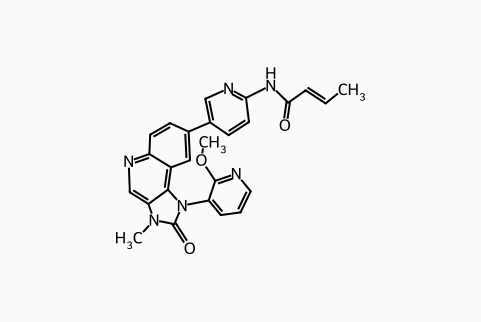 C/C=C/C(=O)Nc1ccc(-c2ccc3ncc4c(c3c2)n(-c2cccnc2OC)c(=O)n4C)cn1